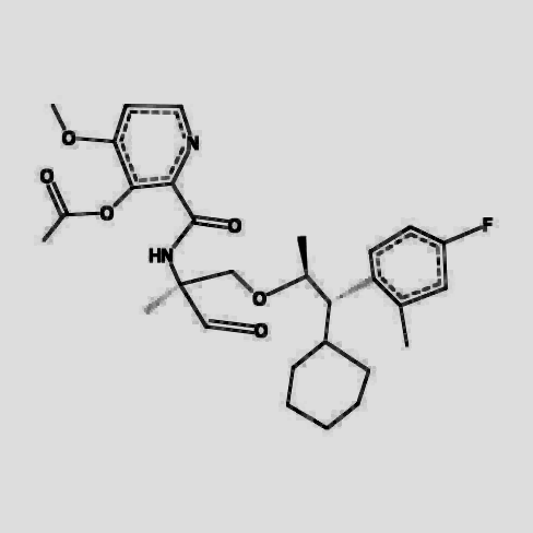 COc1ccnc(C(=O)N[C@](C)(C=O)CO[C@@H](C)[C@H](c2ccc(F)cc2C)C2CCCCC2)c1OC(C)=O